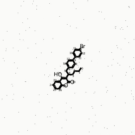 CCCCC(Cc1ccc(-c2ccc(Br)cc2)cc1)c1c(O)c2ccccc2oc1=O